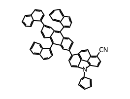 N#Cc1ccc2c3c1ccc1c(-c4ccc5c(-c6cccc7ccccc67)c6cc(-c7cccc8ccccc78)ccc6c(-c6cccc7ccccc67)c5c4)ccc(c13)n2-c1ccccc1